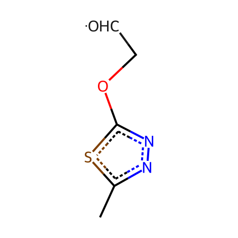 Cc1nnc(OC[C]=O)s1